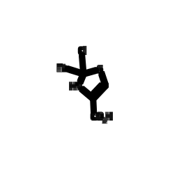 CCC1(Cl)NC(C(=O)O)=CS1